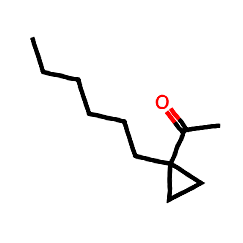 CCCCCCC1(C(C)=O)CC1